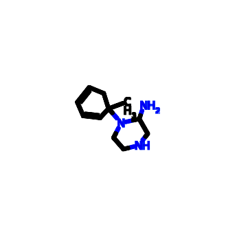 CC1(N2CCNCC2N)C=CC=CC1